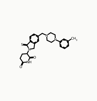 Cc1cccc(N2CCN(Cc3ccc4c(c3)CN(C3CCC(=O)NC3=O)C4=S)CC2)c1